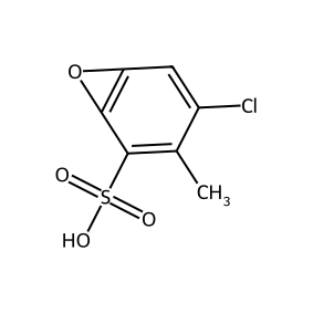 Cc1c(Cl)cc2c(c1S(=O)(=O)O)O2